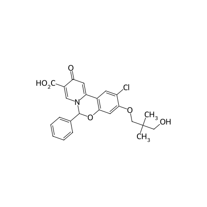 CC(C)(CO)COc1cc2c(cc1Cl)-c1cc(=O)c(C(=O)O)cn1C(c1ccccc1)O2